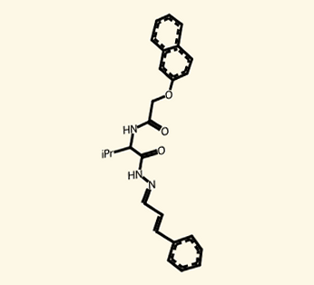 CC(C)C(NC(=O)COc1ccc2ccccc2c1)C(=O)N/N=C/C=C/c1ccccc1